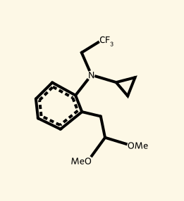 COC(Cc1ccccc1N(CC(F)(F)F)C1CC1)OC